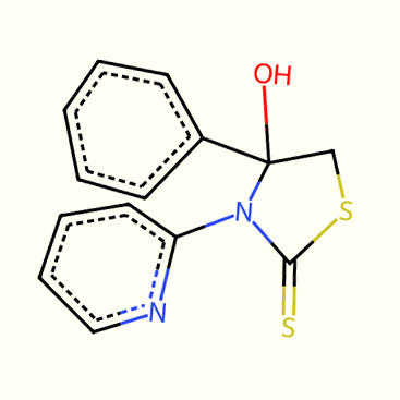 OC1(c2ccccc2)CSC(=S)N1c1ccccn1